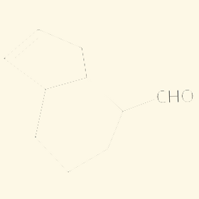 O=CC1CCCC2C=CCC12